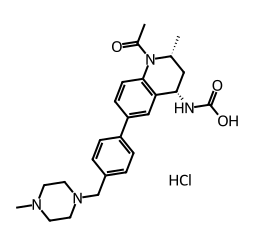 CC(=O)N1c2ccc(-c3ccc(CN4CCN(C)CC4)cc3)cc2[C@@H](NC(=O)O)C[C@H]1C.Cl